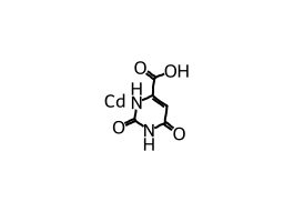 O=C(O)c1cc(=O)[nH]c(=O)[nH]1.[Cd]